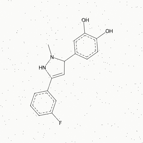 CN1NC(c2cccc(F)c2)=CC1c1ccc(O)c(O)c1